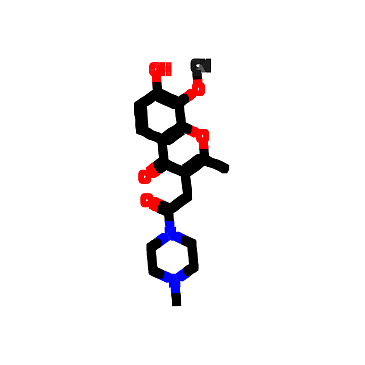 Cc1oc2c(OC#N)c(O)ccc2c(=O)c1CC(=O)N1CCN(C)CC1